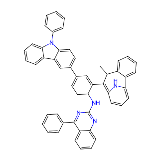 CC1C(C2=CC(c3ccc4c(c3)c3ccccc3n4-c3ccccc3)=CCC2Nc2nc(-c3ccccc3)c3ccccc3n2)=C2C=CC=C(N2)c2ccccc21